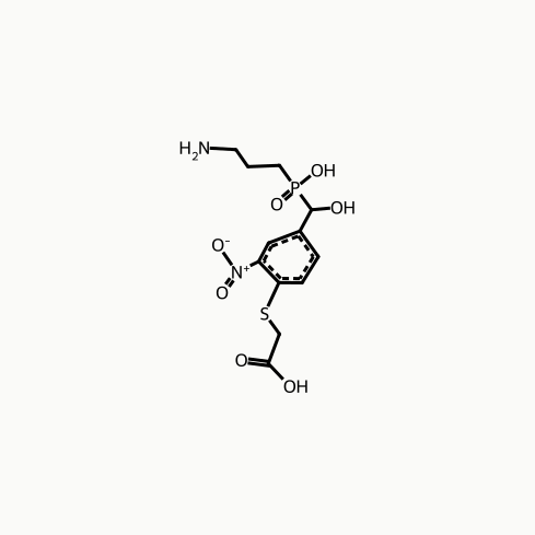 NCCCP(=O)(O)C(O)c1ccc(SCC(=O)O)c([N+](=O)[O-])c1